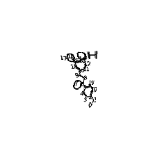 CCc1ccc(C(=O)/C=C/c2ccc(O)c(OC)c2)cc1